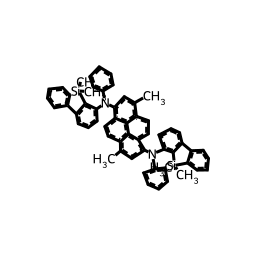 Cc1cc(N(c2ccccc2)c2cccc3c2[Si](C)(C)c2ccccc2-3)c2ccc3c(C)cc(N(c4ccccc4)c4cccc5c4[Si](C)(C)c4ccccc4-5)c4ccc1c2c34